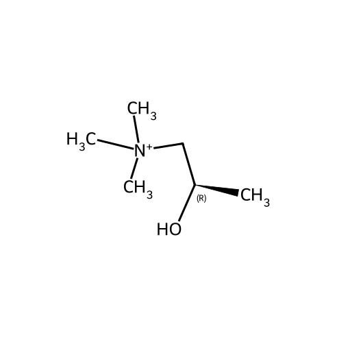 C[C@@H](O)C[N+](C)(C)C